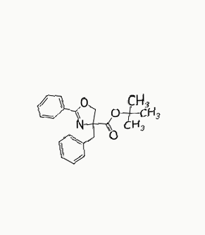 CC(C)(C)OC(=O)C1(Cc2ccccc2)COC(c2ccccc2)=N1